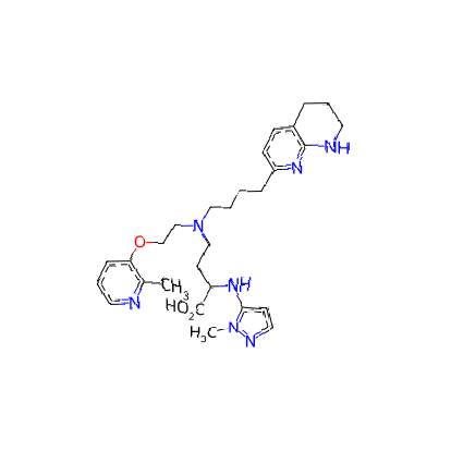 Cc1ncccc1OCCN(CCCCc1ccc2c(n1)NCCC2)CCC(Nc1ccnn1C)C(=O)O